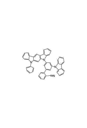 N#Cc1ccccc1-c1cc(-n2c3ccccc3c3ccccc32)cc(-n2c3ccccc3c3cc4c5ccccc5n(-c5ccccc5)c4cc32)c1